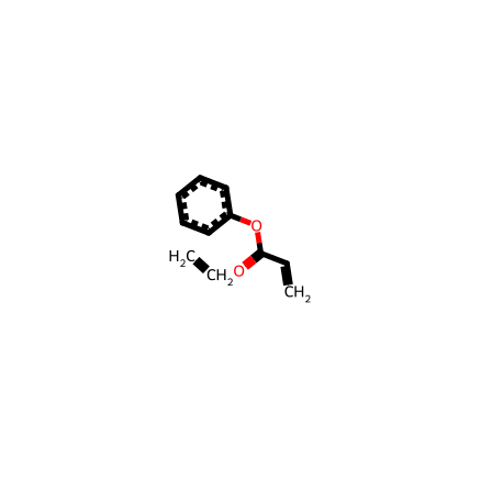 C=C.C=CC(=O)Oc1ccccc1